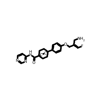 NC/C(=C\F)COc1ccc(C23CCC(C(=O)Nc4ccncn4)(CC2)CC3)cc1